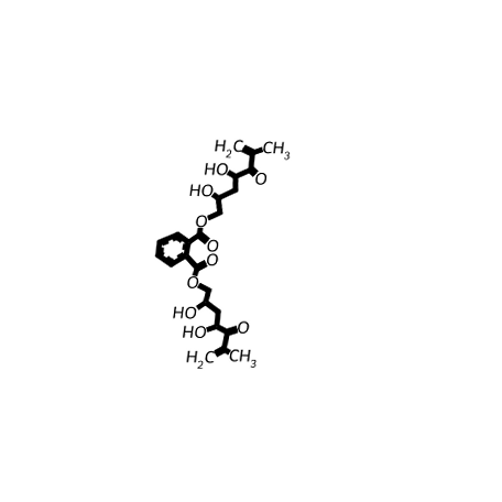 C=C(C)C(=O)C(O)CC(O)COC(=O)c1ccccc1C(=O)OCC(O)CC(O)C(=O)C(=C)C